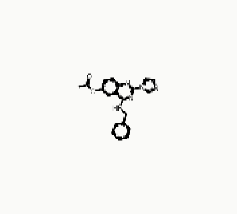 CC(=O)Oc1ccc2nc(-n3ccnc3)nc(NCc3ccccc3)c2c1